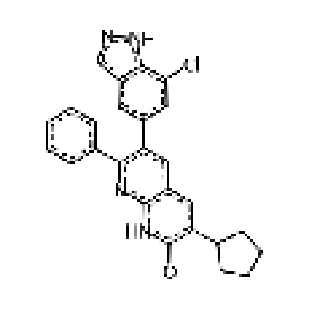 O=c1[nH]c2nc(-c3ccccc3)c(-c3cc(Cl)c4[nH]ncc4c3)cc2cc1C1CCCC1